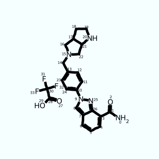 NC(=O)c1cccc2cn(-c3ccc(CN4CC5CCNC5C4)cc3)nc12.O=C(O)C(F)(F)F